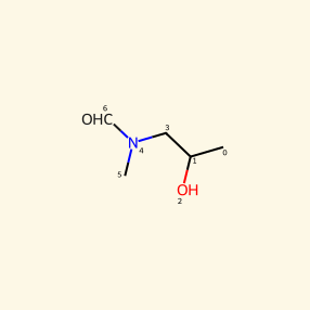 CC(O)CN(C)C=O